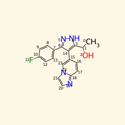 CC(O)c1[nH]nc(-c2ccc(F)cc2)c1-c1ccc2nccn2c1